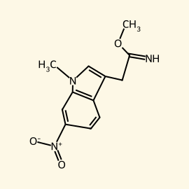 COC(=N)Cc1cn(C)c2cc([N+](=O)[O-])ccc12